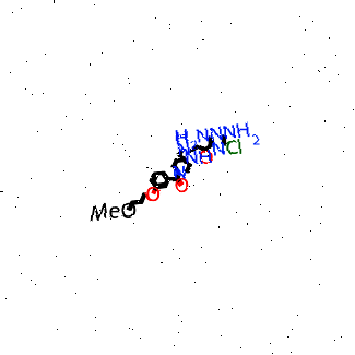 COCCCOc1cccc(C(=O)N2CCC3(CC2)CNC(CC(=O)c2nc(Cl)c(N)nc2N)N3)c1